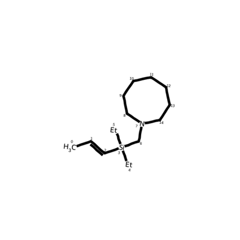 CC=C[Si](CC)(CC)CN1CCCCCCC1